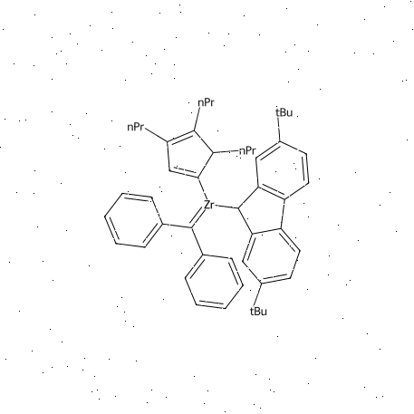 CCCC1=C(CCC)C(CCC)[C]([Zr](=[C](c2ccccc2)c2ccccc2)[CH]2c3cc(C(C)(C)C)ccc3-c3ccc(C(C)(C)C)cc32)=C1